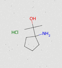 CC(C)(O)C1(N)CCCC1.Cl